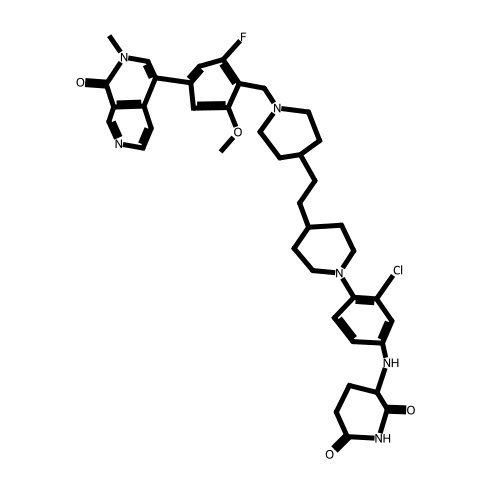 COc1cc(-c2cn(C)c(=O)c3cnccc23)cc(F)c1CN1CCC(CCC2CCN(c3ccc(NC4CCC(=O)NC4=O)cc3Cl)CC2)CC1